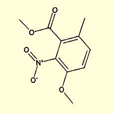 COC(=O)c1c(C)ccc(OC)c1[N+](=O)[O-]